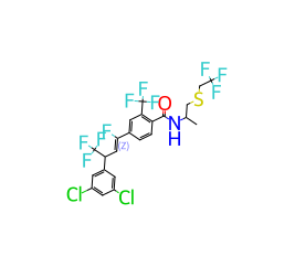 CC(CSCC(F)(F)F)NC(=O)c1ccc(/C(F)=C/C(c2cc(Cl)cc(Cl)c2)C(F)(F)F)cc1C(F)(F)F